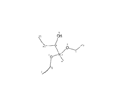 CCO[Si](C)(OCC)C(O)CC